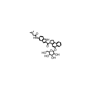 CN(C)CC(=O)Nc1ccc2[nH]c(C(=O)N3CCc4c3cc(O[C@@H]3OC(CO)[C@H](O)[C@H](O)C3O)c3ccccc43)cc2c1